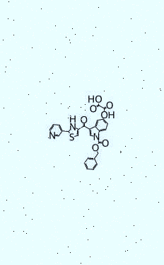 O=C(C1=CSC(c2cccnc2)N1)c1cn(C(=O)OCc2ccccc2)c2ccccc12.O=C(O)C(=O)O